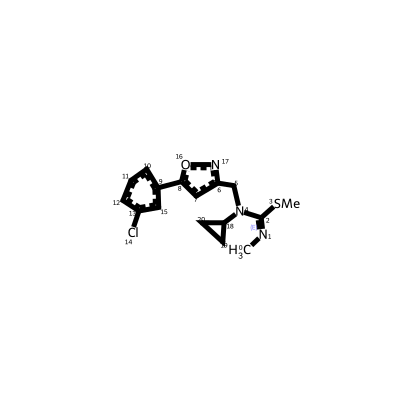 C/N=C(/SC)N(Cc1cc(-c2cccc(Cl)c2)on1)C1CC1